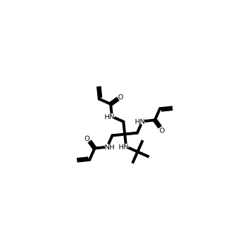 C=CC(=O)NCC(CNC(=O)C=C)(CNC(=O)C=C)NC(C)(C)C